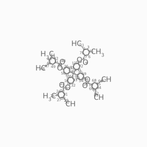 C#Cc1cc(C)cc(C(=O)Oc2ccc(C(c3ccc(OC(=O)c4cc(C)cc(C#C)c4)cc3)(c3ccc(OC(=O)c4cc(C)cc(C#C)c4)cc3)c3ccc(OC(=O)c4cc(C#C)cc(C#C)c4)cc3)cc2)c1